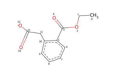 CCOC(=O)c1ccccc1CC([O])=O